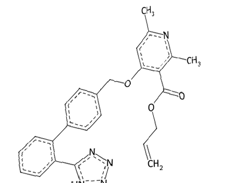 C=CCOC(=O)c1c(OCc2ccc(-c3ccccc3-c3nnn[nH]3)cc2)cc(C)nc1C